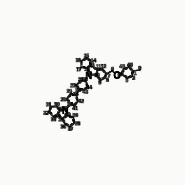 Cc1ccc(OCc2ccc3c(c2)c2ccccc2n3-c2ccc(-c3ccc(-n4c5ccccc5c5ccccc54)cc3)cc2)cc1